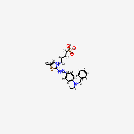 CCN(Cc1ccccc1)c1ccc(/N=N/c2sc(C)c[n+]2CCCCS(=O)(=O)[O-])cc1